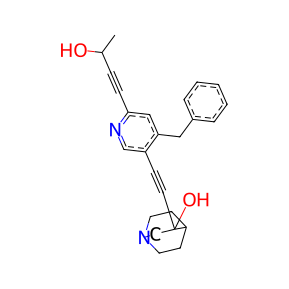 CC(O)C#Cc1cc(Cc2ccccc2)c(C#CC2(O)CN3CCC2CC3)cn1